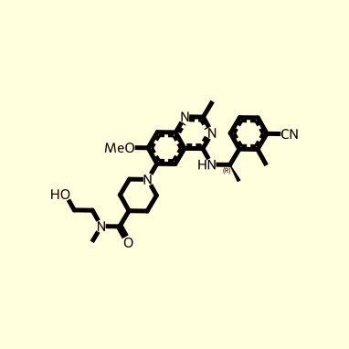 COc1cc2nc(C)nc(N[C@H](C)c3cccc(C#N)c3C)c2cc1N1CCC(C(=O)N(C)CCO)CC1